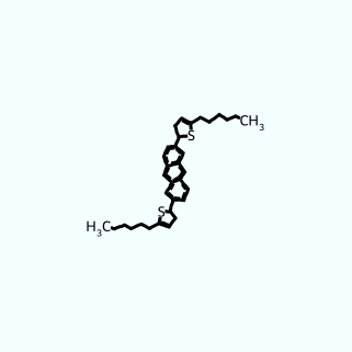 CCCCCCC1=CCC(c2ccc3cc4cc(C5CC=C(CCCCCC)S5)ccc4cc3c2)S1